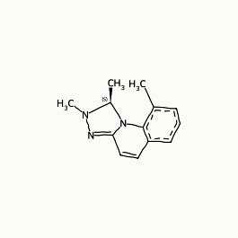 Cc1cccc2c1N1C(=NN(C)[C@H]1C)C=C2